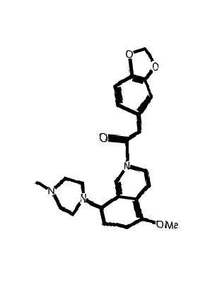 COC1=C2CCN(C(=O)Cc3ccc4c(c3)OCO4)C=C2C(N2CCN(C)CC2)CC1